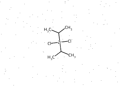 C[CH](C)[Zr]([Cl])([Cl])[CH](C)C